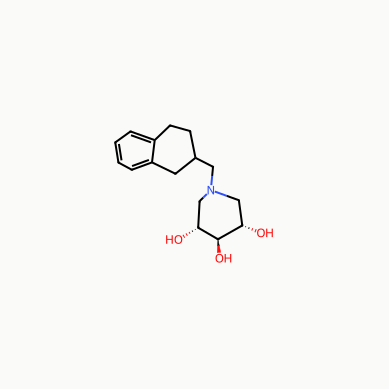 O[C@H]1[C@H](O)CN(CC2CCc3ccccc3C2)C[C@@H]1O